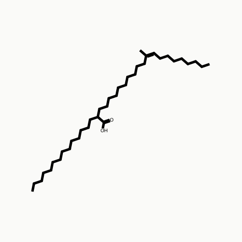 CCCCCCCCC=C(C)CCCCCCCCCCC(CCCCCCCCCCCCCC)C(=O)O